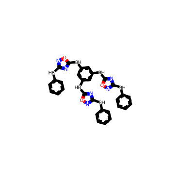 B(c1ccccc1)c1noc(Bc2cc(Bc3nc(Bc4ccccc4)no3)cc(Bc3nc(Bc4ccccc4)no3)c2)n1